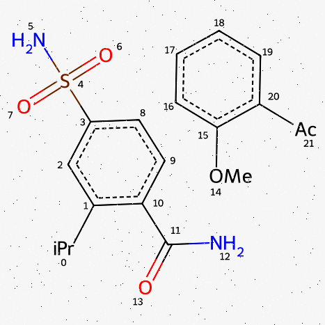 CC(C)c1cc(S(N)(=O)=O)ccc1C(N)=O.COc1ccccc1C(C)=O